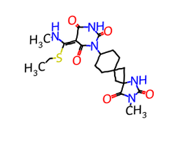 CCSC(NC)=C1C(=O)NC(=O)N(C2CCC3(CC2)CC2(C3)NC(=O)N(C)C2=O)C1=O